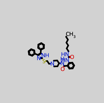 CCCCCCCNC(=O)Nc1ccccc1C(=O)NC1CCN(CCSc2nc(-c3ccccc3)c(-c3ccccc3)[nH]2)CC1